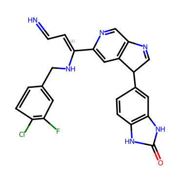 N=C/C=C(\NCc1ccc(Cl)c(F)c1)c1cc2c(cn1)N=CC2c1ccc2[nH]c(=O)[nH]c2c1